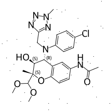 COC(OC)[C@@]1(C)Oc2ccc(NC(C)=O)cc2[C@@H](N(Cc2nnn(C)n2)c2ccc(Cl)cc2)[C@@H]1O